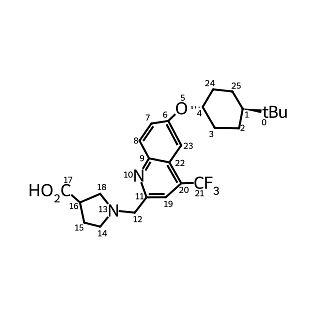 CC(C)(C)[C@H]1CC[C@H](Oc2ccc3nc(CN4CCC(C(=O)O)C4)cc(C(F)(F)F)c3c2)CC1